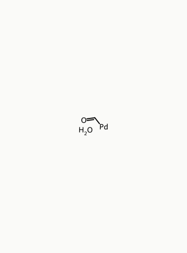 O.O=[CH][Pd]